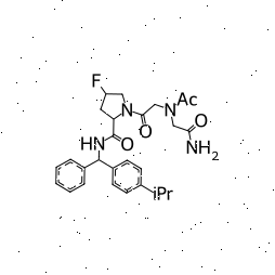 CC(=O)N(CC(N)=O)CC(=O)N1CC(F)CC1C(=O)NC(c1ccccc1)c1ccc(C(C)C)cc1